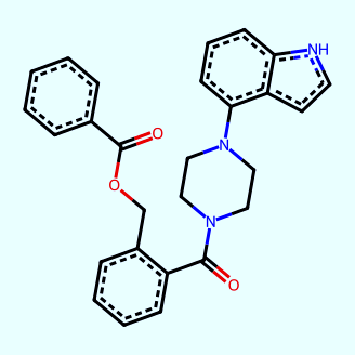 O=C(OCc1ccccc1C(=O)N1CCN(c2cccc3[nH]ccc23)CC1)c1ccccc1